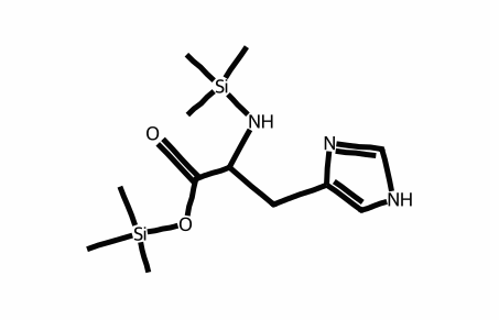 C[Si](C)(C)NC(Cc1c[nH]cn1)C(=O)O[Si](C)(C)C